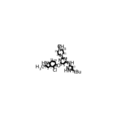 Cc1cc2c(Cl)c(Oc3cc(Nc4cc(C(C)(C)C)[nH]n4)nc(N4CCN(C)CC4)n3)ccc2[nH]1